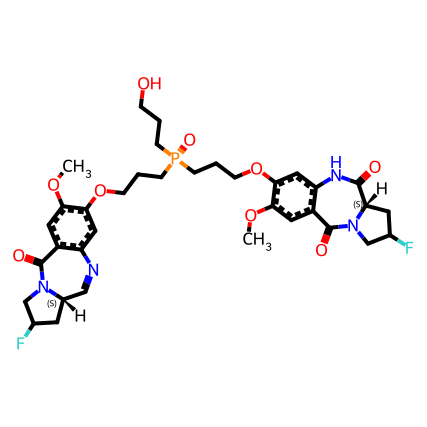 COc1cc2c(cc1OCCCP(=O)(CCCO)CCCOc1cc3c(cc1OC)C(=O)N1CC(F)C[C@H]1C(=O)N3)N=C[C@@H]1CC(F)CN1C2=O